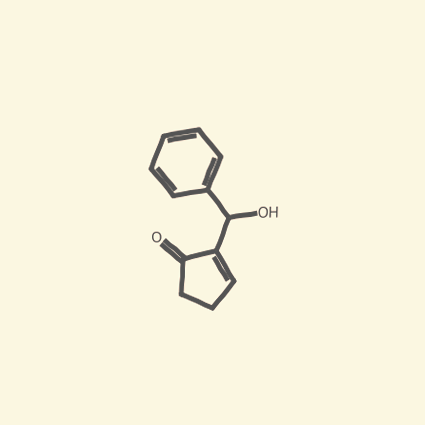 O=C1CCC=C1C(O)c1ccccc1